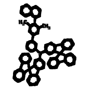 Cc1cc(-c2cccc(N(c3ccc4c(c3)C3(c5ccccc5-c5ccccc53)c3ccccc3-4)c3ccc4c(c3)C3(c5ccccc5-c5ccccc53)c3ccccc3-4)c2)cc(C)c1-c1cccc2ccccc12